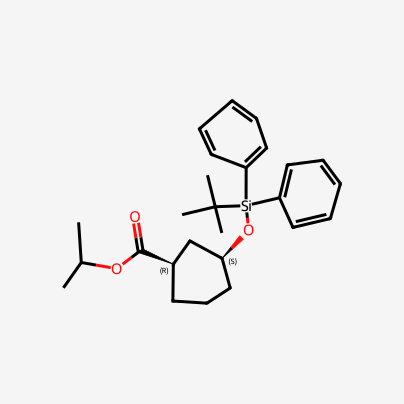 CC(C)OC(=O)[C@@H]1CCC[C@H](O[Si](c2ccccc2)(c2ccccc2)C(C)(C)C)C1